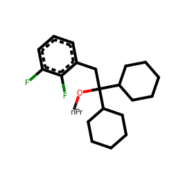 CCCOC(Cc1cccc(F)c1F)(C1CCCCC1)C1CCCCC1